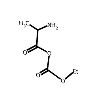 CCOC(=O)OC(=O)C(C)N